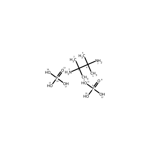 CC(C)(N)C(C)(C)N.O=P(O)(O)O.O=P(O)(O)O